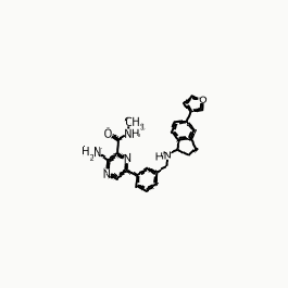 CNC(=O)c1nc(-c2cccc(CNC3CCc4cc(-c5ccoc5)ccc43)c2)cnc1N